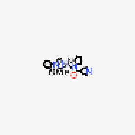 COc1ccccc1N1CCN(CCN(C(=O)c2ccncc2)c2ccccc2[N+](=O)[O-])CC1